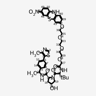 Cc1ncsc1-c1ccc([C@H](C)NC(=O)[C@@H]2C[C@@H](O)CN2C(=O)[C@@H](NC(=O)COCCOCCOCCOc2ccc3c(c2)Sc2cc([N+](=O)[O-])ccc2N3)C(C)(C)C)cc1